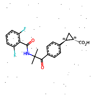 CC(C)(NC(=O)c1c(F)cccc1F)C(=O)c1ccc([C@H]2C[C@@H]2C(=O)O)cc1